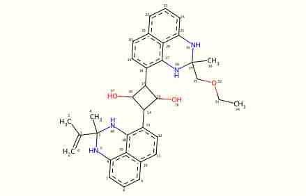 C=C(C)C1(C)Nc2cccc3ccc(C4C(O)C(c5ccc6cccc7c6c5NC(C)(COCC)N7)C4O)c(c23)N1